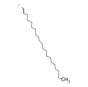 CCCCCCCCCCCCCCCCCCCC=CF